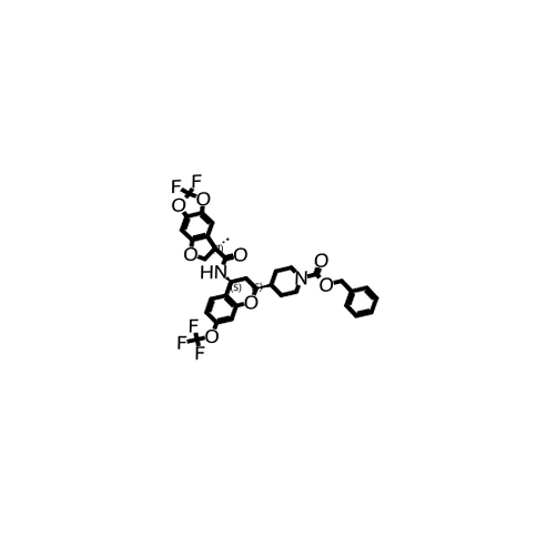 C[C@]1(C(=O)N[C@H]2C[C@@H](C3CCN(C(=O)OCc4ccccc4)CC3)Oc3cc(OC(F)(F)F)ccc32)COc2cc3c(cc21)OC(F)(F)O3